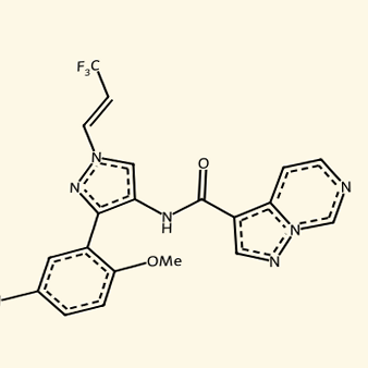 COc1ccc(Cl)cc1-c1nn(C=CC(F)(F)F)cc1NC(=O)c1cnn2cnccc12